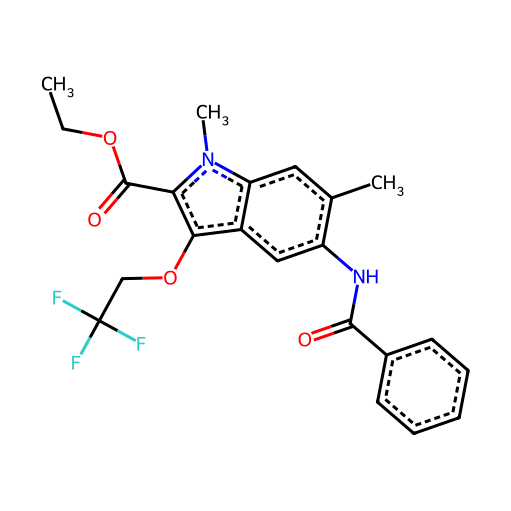 CCOC(=O)c1c(OCC(F)(F)F)c2cc(NC(=O)c3ccccc3)c(C)cc2n1C